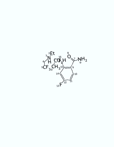 CC(=O)O.CCNCC(F)(F)F.NC(=O)c1ccc(F)cc1F